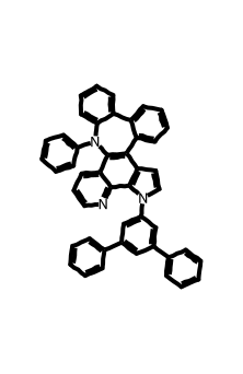 c1ccc(-c2cc(-c3ccccc3)cc(-n3ccc4c5c(c6cccnc6c43)N(c3ccccc3)c3ccccc3-c3ccccc3-5)c2)cc1